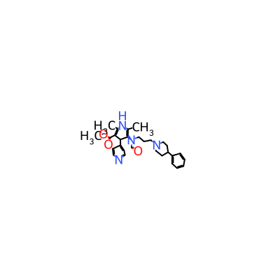 COC(=O)C1=C(C)NC(C)=C(N(C=O)CCCN2CCC(c3ccccc3)CC2)C1c1ccncc1